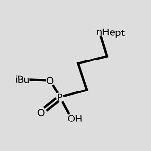 CCCCCCCCCCP(=O)(O)OC(C)CC